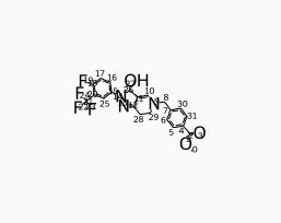 COC(=O)c1ccc(CN2C=C3C(=NN(c4ccc(F)c(C(F)(F)F)c4)C3O)CC2)cc1